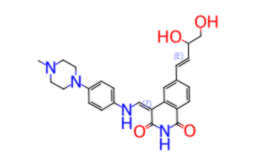 CN1CCN(c2ccc(N/C=C3\C(=O)NC(=O)c4ccc(/C=C/C(O)CO)cc43)cc2)CC1